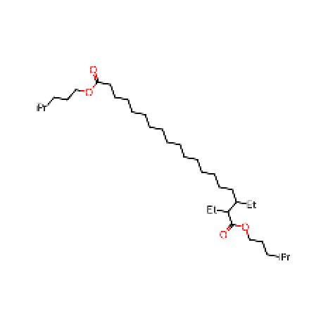 CCC(CCCCCCCCCCCCCCCC(=O)OCCCC(C)C)C(CC)C(=O)OCCCC(C)C